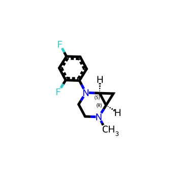 CN1CCN(c2ccc(F)cc2F)[C@H]2C[C@H]21